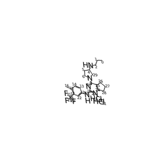 CCCNC1CCN(c2nc(Nc3ccc(C)c(C(F)(F)F)c3)nc3c2CCC3)C1.Cl.Cl